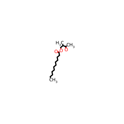 CCCCCCCCCCCC(=O)OCC(C)C(C)=O